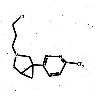 FC(F)(F)c1ccc(C23CC2CN(CCCCl)C3)cn1